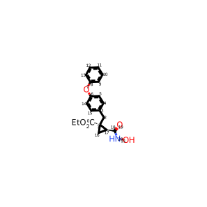 CCOC(=O)[C@@]1(Cc2ccc(Oc3ccccc3)cc2)C[C@@H]1C(=O)NO